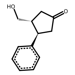 O=C1C[C@@H](CO)[C@H](c2ccccc2)C1